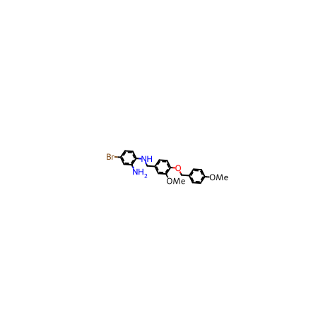 COc1ccc(COc2ccc(CNc3ccc(Br)cc3N)cc2OC)cc1